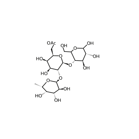 CC(=O)OC[C@H]1O[C@@H](O[C@@H]2C(CO)OC(O)[C@H](O)[C@H]2O)[C@H](O[C@@H]2O[C@@H](C)[C@@H](O)[C@@H](O)[C@@H]2O)[C@@H](O)[C@H]1O